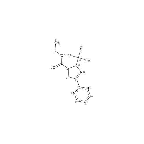 CCOC(=O)C1SC(c2ncccn2)=NC1C(F)(F)F